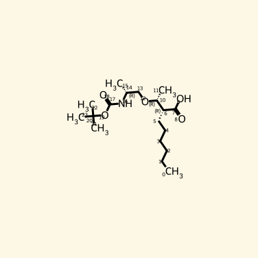 CCCCCC[C@@H](C(=O)O)[C@@H](C)OC[C@@H](C)NC(=O)OC(C)(C)C